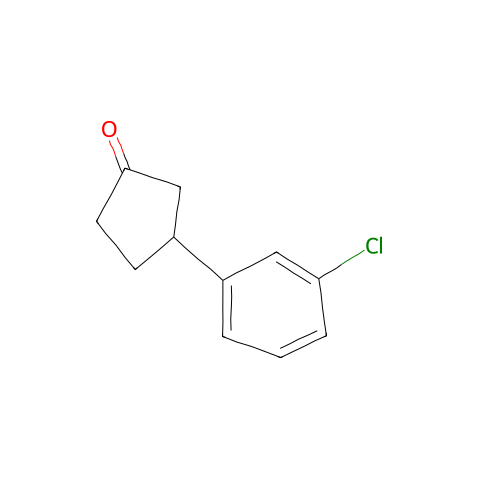 O=C1CCC(c2cccc(Cl)c2)C1